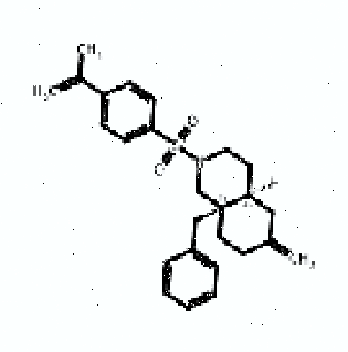 C=C1CC[C@]2(Cc3ccccc3)CN(S(=O)(=O)c3ccc(C(=C)C)cc3)CC[C@H]2C1